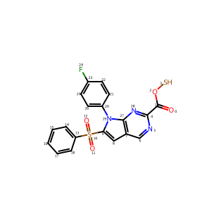 O=C(OS)c1ncc2cc(S(=O)(=O)c3ccccc3)n(-c3ccc(F)cc3)c2n1